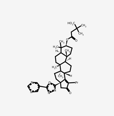 CC(C)C1=C2[C@H]3CC[C@@H]4[C@@]5(C)CC[C@H](OC(=O)CC(C)(C)C(=O)O)C(C)(C)[C@@H]5CC[C@@]4(C)[C@]3(C)CC[C@@]2(c2nnc(-c3cncnc3)o2)CC1=O